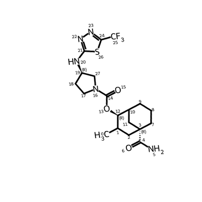 CC1C[C@]2(C(N)=O)CCCC(C2)[C@@H]1OC(=O)N1CC[C@@H](Nc2nnc(C(F)(F)F)s2)C1